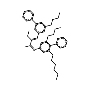 CCCCCCc1cc(N=C(C)C(=Cc2cc(CCCC)cc(-c3ccccc3)c2)CC)cc(CCCC)c1-c1ccccc1